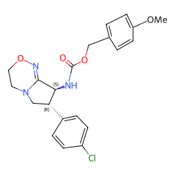 COc1ccc(COC(=O)N[C@@H]2C3=NOCCN3C[C@H]2c2ccc(Cl)cc2)cc1